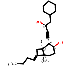 CO[C@@]12CC[C@H](O)[C@@H](C#C[C@@H](O)CC3CCCCC3)[C@@H]1CC2=CCCC(=O)O